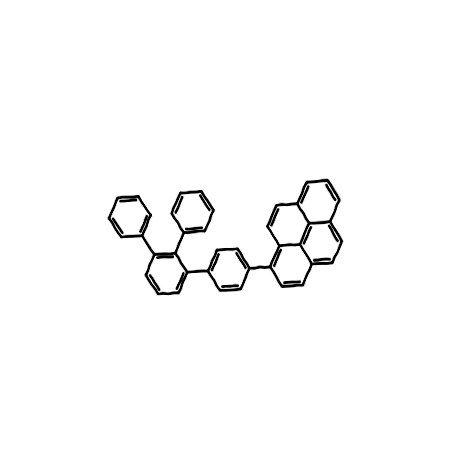 c1ccc(-c2cccc(-c3ccc(-c4ccc5ccc6cccc7ccc4c5c67)cc3)c2-c2ccccc2)cc1